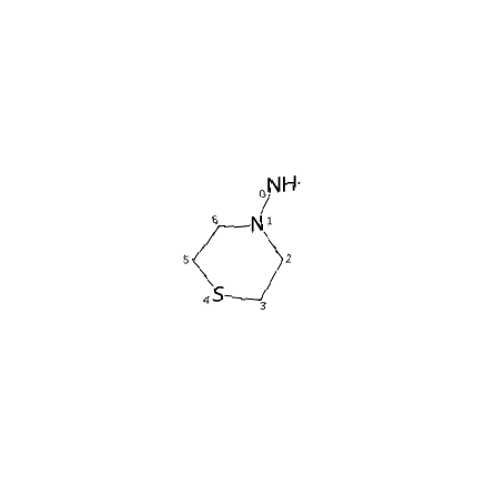 [NH]N1CCSCC1